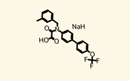 Cc1cccc(CN(C(=O)C(=O)O)c2ccc(-c3ccc(OC(F)(F)F)cc3)cc2)c1.[NaH]